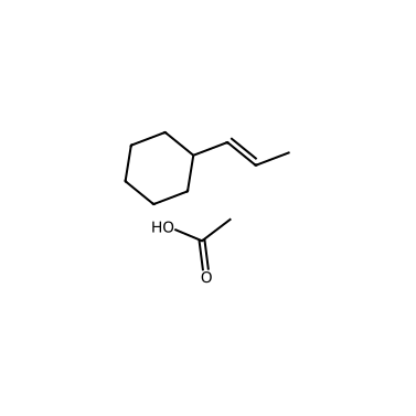 CC(=O)O.CC=CC1CCCCC1